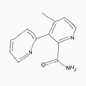 Cc1ccnc(C(N)=O)c1-c1ccccn1